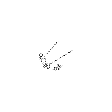 CCCCCCCCCCCCCCCCCCc1cccc2oc(C=CC=C3Nc4ccccc4O3)[n+](CCCCCCCCCCCCCCCCCC)c12.Cc1ccc(S(=O)(=O)[O-])cc1